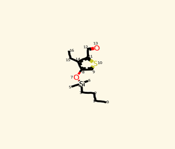 CCCC[Si](C)(C)Oc1csc(C=O)c1CC